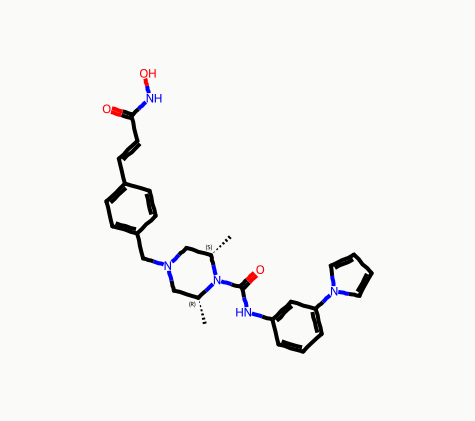 C[C@@H]1CN(Cc2ccc(C=CC(=O)NO)cc2)C[C@H](C)N1C(=O)Nc1cccc(-n2cccc2)c1